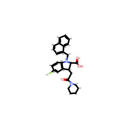 O=C(O)C1C(CC(=O)N2CCCCC2)c2cc(F)ccc2N1Cc1cccc2ccccc12